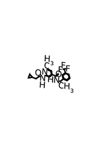 Cc1cc(C(=O)NC(C)c2cccc(C(F)(F)F)c2)cc(NC(=O)CC2CC2)n1